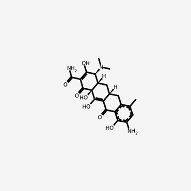 Cc1cc(N)c(O)c2c1C[C@H]1C[C@H]3[C@H](N(C)C)C(O)=C(C(N)=O)C(=O)[C@@]3(O)C(O)=C1C2=O